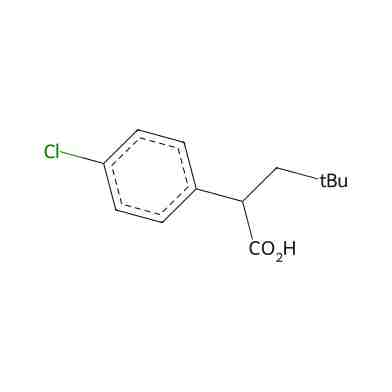 CC(C)(C)CC(C(=O)O)c1ccc(Cl)cc1